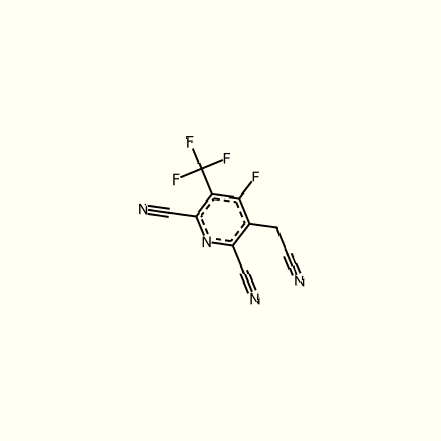 N#CCc1c(C#N)nc(C#N)c(C(F)(F)F)c1F